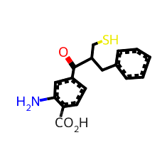 Nc1cc(C(=O)C(CS)Cc2ccccc2)ccc1C(=O)O